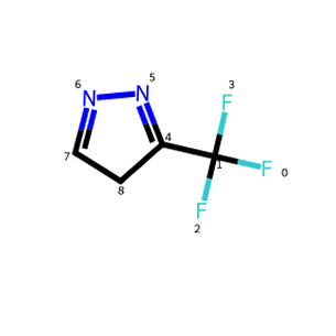 FC(F)(F)C1=NN=CC1